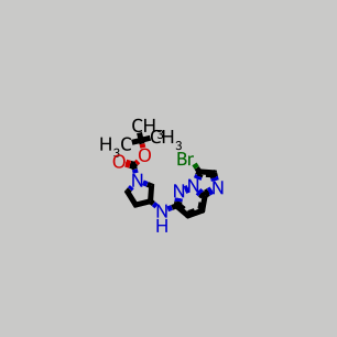 CC(C)(C)OC(=O)N1CCC(Nc2ccc3ncc(Br)n3n2)C1